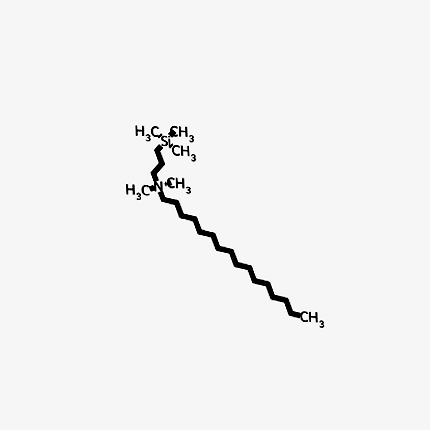 CCCCCCCCCCCCCCCC[N+](C)(C)CCC[Si](C)(C)C